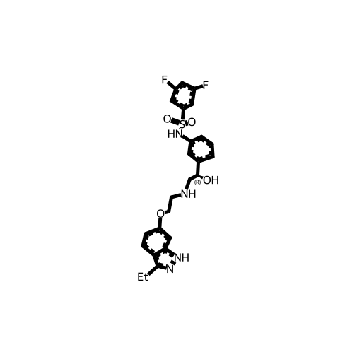 CCc1n[nH]c2cc(OCCNC[C@H](O)c3cccc(NS(=O)(=O)c4cc(F)cc(F)c4)c3)ccc12